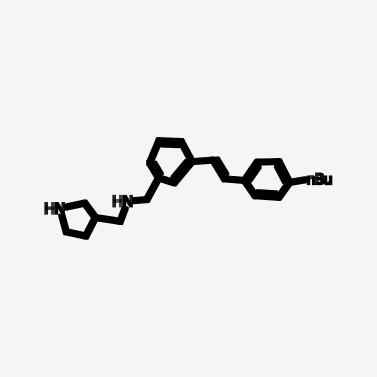 CCCCc1ccc(/C=C/c2cccc(CNCC3CCNC3)c2)cc1